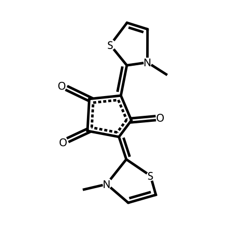 CN1C=CSC1=c1c(=O)c(=O)c(=C2SC=CN2C)c1=O